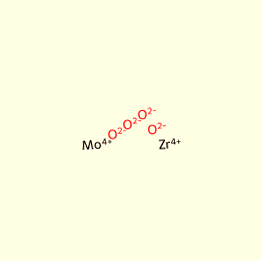 [Mo+4].[O-2].[O-2].[O-2].[O-2].[Zr+4]